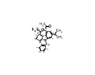 CC(=O)Oc1cc(C(C)C)cc2c1c1c(C(N)=O)cccc1n2Cc1ccccc1